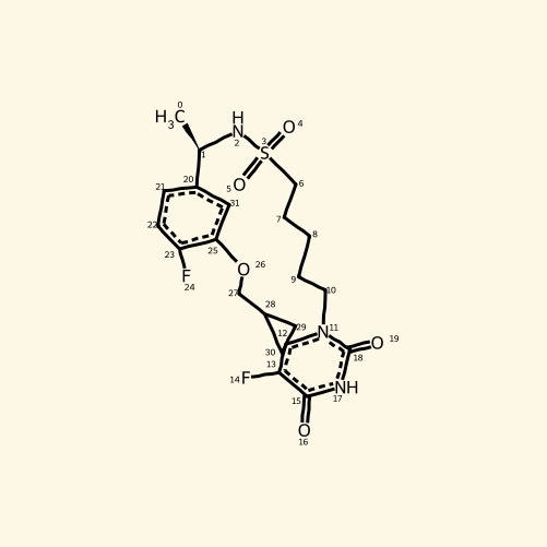 C[C@@H](NS(=O)(=O)CCCCCn1cc(F)c(=O)[nH]c1=O)c1ccc(F)c(OCC2CC2)c1